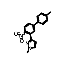 Cc1ccc(-c2ccc([N+](=O)[O-])c(-c3ccn(C)n3)c2)cc1